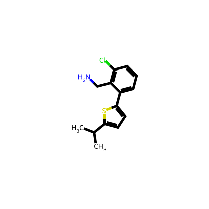 CC(C)c1ccc(-c2cccc(Cl)c2CN)s1